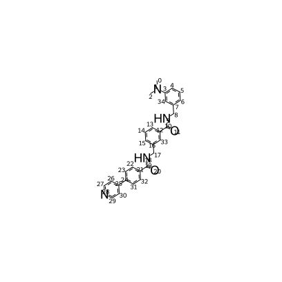 CN(C)c1cccc(CNC(=O)c2cccc(CNC(=O)c3ccc(-c4ccncc4)cc3)c2)c1